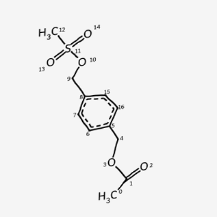 CC(=O)OCc1ccc(COS(C)(=O)=O)cc1